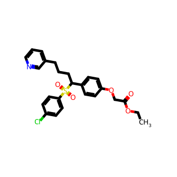 CCOC(=O)COc1ccc(C(CCCc2cccnc2)S(=O)(=O)c2ccc(Cl)cc2)cc1